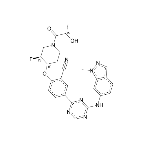 C[C@H](O)C(=O)N1CC[C@H](Oc2ccc(-c3ncnc(Nc4ccc5cnn(C)c5c4)n3)cc2C#N)[C@@H](F)C1